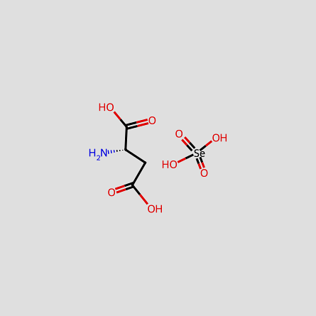 N[C@@H](CC(=O)O)C(=O)O.O=[Se](=O)(O)O